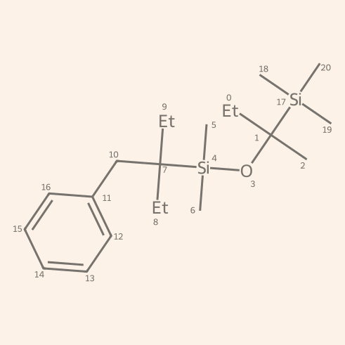 CCC(C)(O[Si](C)(C)C(CC)(CC)Cc1ccccc1)[Si](C)(C)C